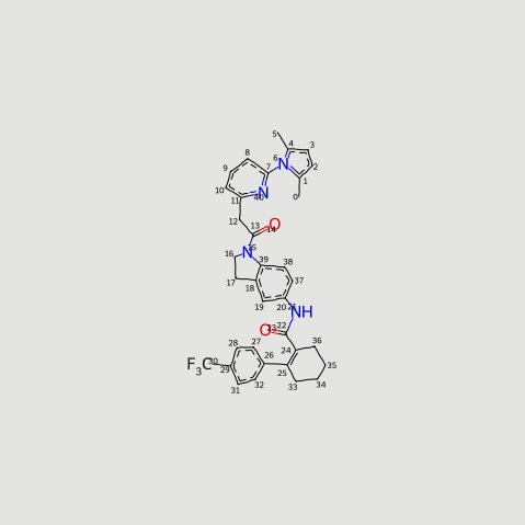 Cc1ccc(C)n1-c1cccc(CC(=O)N2CCc3cc(NC(=O)C4=C(c5ccc(C(F)(F)F)cc5)CCCC4)ccc32)n1